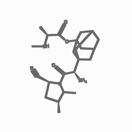 CN[C@@H](C)C(=O)OC12CC3CC(C1)CC([C@H](N)C(=O)N1C(C)[C@@H](C)C[C@H]1C#N)(C3)C2